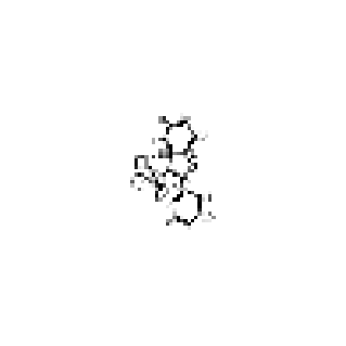 O=S(=O)(Cl)c1c(-c2ccccc2)sc2ccccc12